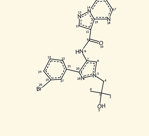 CC(C)(O)Cn1cc(NC(=O)c2cnn3cccnc23)c(-c2cccc(Br)c2)n1